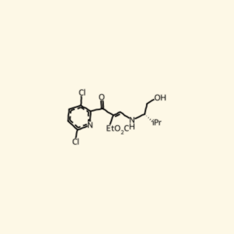 CCOC(=O)/C(=C\N[C@H](CO)C(C)C)C(=O)c1nc(Cl)ccc1Cl